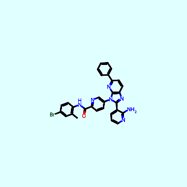 Cc1cc(Br)ccc1NC(=O)c1ccc(-n2c(-c3cccnc3N)nc3ccc(-c4ccccc4)nc32)cn1